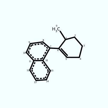 CC1CCC[C]=C1c1cccc2ccccc12